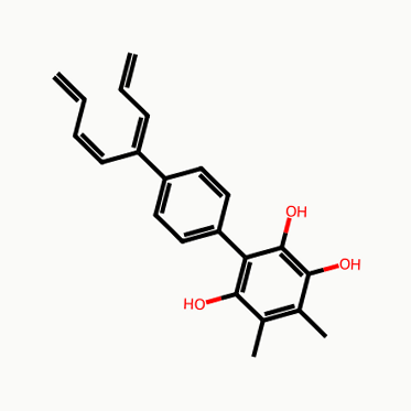 C=C/C=C\C(=C/C=C)c1ccc(-c2c(O)c(C)c(C)c(O)c2O)cc1